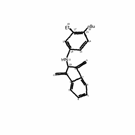 C=C1c2ccccc2C(=C)C1Nc1ccc(CCCC)c(CC)c1